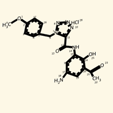 COc1ccc(Cn2nnnc2C(=O)Nc2cc(N)cc(C(C)=O)c2O)cc1.Cl